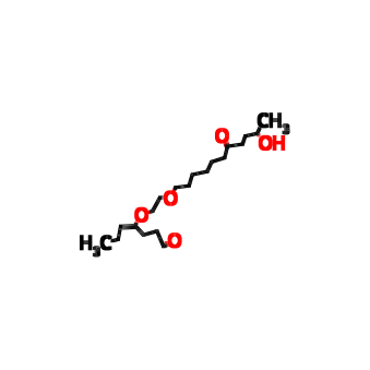 CC/C=C(\CCC=O)OCCOCCCCCCC(=O)CCC(C)O